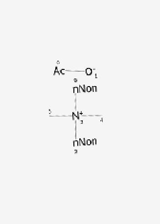 CC(=O)[O-].CCCCCCCCC[N+](C)(C)CCCCCCCCC